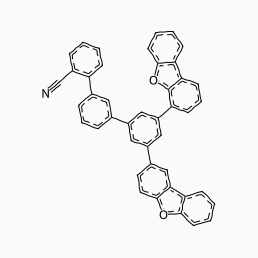 N#Cc1ccccc1-c1cccc(-c2cc(-c3ccc4oc5ccccc5c4c3)cc(-c3cccc4c3oc3ccccc34)c2)c1